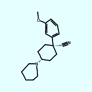 COc1cccc([C@]2(C#N)CC[C@@H](N3CCCCC3)CC2)c1